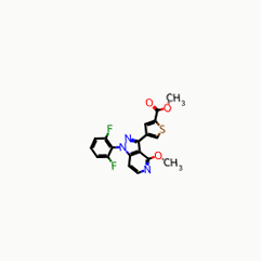 COC(=O)c1cc(-c2nn(-c3c(F)cccc3F)c3ccnc(OC)c23)cs1